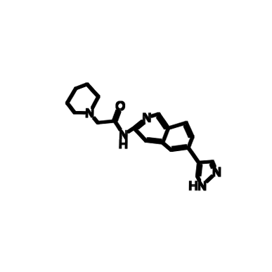 O=C(CN1CCCCC1)Nc1cc2cc(-c3cn[nH]c3)ccc2cn1